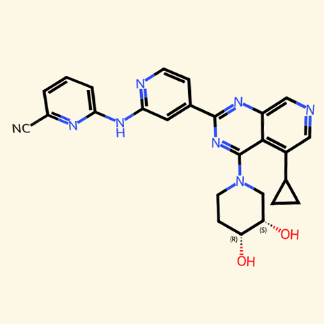 N#Cc1cccc(Nc2cc(-c3nc(N4CC[C@@H](O)[C@@H](O)C4)c4c(C5CC5)cncc4n3)ccn2)n1